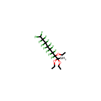 CCOC([SiH3])(OCC)C(F)(OCC)C(F)(F)C(F)(F)C(F)(F)C(F)(F)C(F)(F)C(F)F